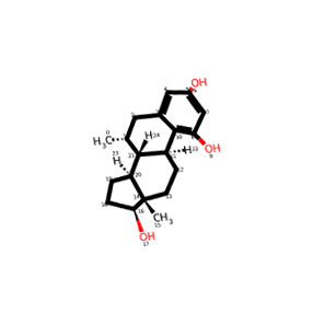 C[C@@H]1Cc2cc(O)cc(O)c2[C@H]2CC[C@]3(C)[C@@H](O)CC[C@H]3[C@H]12